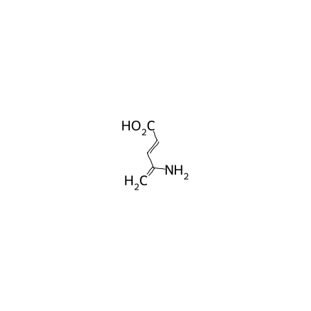 C=C(N)/C=C/C(=O)O